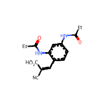 CCC(=O)Nc1ccc(C=C(C#N)C(=O)O)c(NC(=O)CC)c1